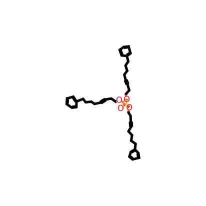 O=P(OCCC#CCCCCc1ccccc1)(OCCC#CCCCCc1ccccc1)OCCC#CCCCCc1ccccc1